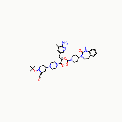 Cc1cc(C[C@@H](OC(=O)N2CCC(N3CCc4ccccc4NC3=O)CC2)C(=O)N2CCN(C3CCN(OC(C)(C)C)C(=C=O)C3)CC2)cnc1N